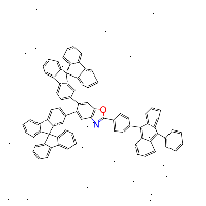 c1ccc(-c2c3ccccc3c(-c3ccc(-c4nc5cc(-c6ccc7c(c6)C6(c8ccccc8-c8ccccc86)c6ccccc6-7)c(-c6ccc7c(c6)C6(c8ccccc8-c8ccccc86)c6ccccc6-7)cc5o4)cc3)c3ccccc23)cc1